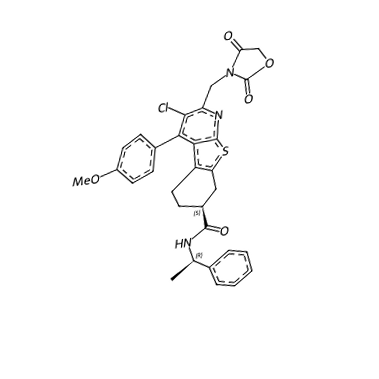 COc1ccc(-c2c(Cl)c(CN3C(=O)COC3=O)nc3sc4c(c23)CC[C@H](C(=O)N[C@H](C)c2ccccc2)C4)cc1